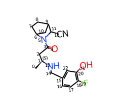 C[C@@H](CC(=O)N1C2CCC(C2)C1C#N)NCc1ccc(F)c(O)c1